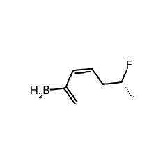 BC(=C)/C=C\C[C@@H](C)F